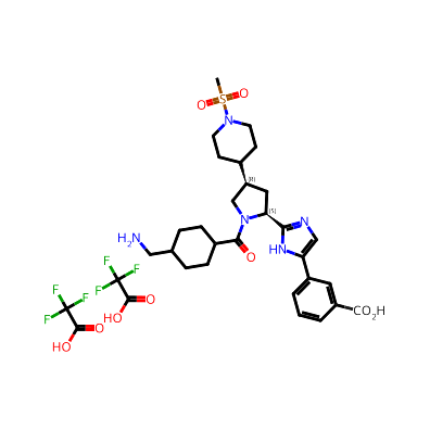 CS(=O)(=O)N1CCC([C@H]2C[C@@H](c3ncc(-c4cccc(C(=O)O)c4)[nH]3)N(C(=O)C3CCC(CN)CC3)C2)CC1.O=C(O)C(F)(F)F.O=C(O)C(F)(F)F